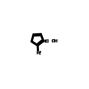 Cl.Cl.[Hf][C]1=CC=CC1